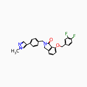 Cn1cc(-c2ccc(CN3Cc4cccc(OCc5ccc(F)c(F)c5)c4C3=O)cc2)cn1